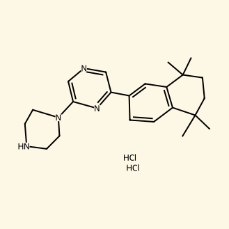 CC1(C)CCC(C)(C)c2cc(-c3cncc(N4CCNCC4)n3)ccc21.Cl.Cl